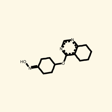 ON=C1CCC(Oc2ncnc3c2CCCC3)CC1